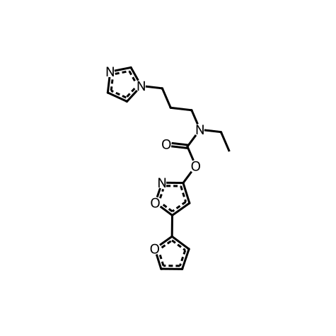 CCN(CCCn1ccnc1)C(=O)Oc1cc(-c2ccco2)on1